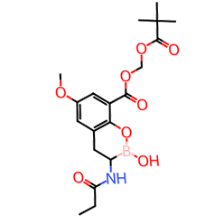 CCC(=O)NC1Cc2cc(OC)cc(C(=O)OCOC(=O)C(C)(C)C)c2OB1O